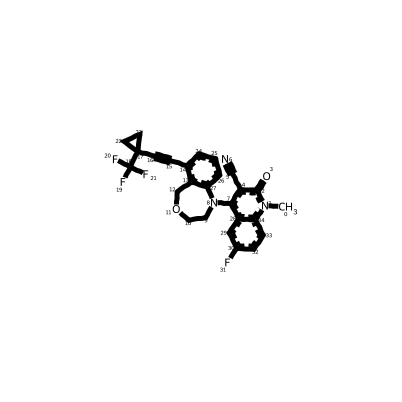 Cn1c(=O)c(C#N)c(N2CCOCc3c(C#CC4(C(F)(F)F)CC4)cccc32)c2cc(F)ccc21